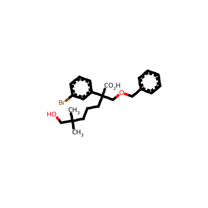 CC(C)(CO)CCCC(COCc1ccccc1)(C(=O)O)c1cccc(Br)c1